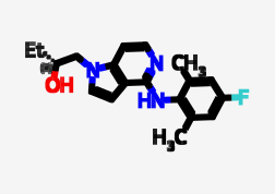 CC[C@@H](O)Cn1ccc2c(Nc3c(C)cc(F)cc3C)nccc21